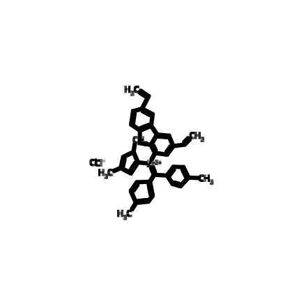 C=Cc1ccc2c(c1)-c1cc(C=C)c[c]([Zr+2]([C]3=CC(C)=CC3C)=[C](c3ccc(C)cc3)c3ccc(C)cc3)c1C2.[Cl-].[Cl-]